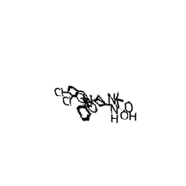 CC1(C)N=C(C23CC(N(Cc4ccc(Cl)c(Cl)c4)S(=O)(=O)c4ccccc4)(C2)C3)N[C@H]1C(=O)O